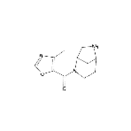 Cc1ncoc1C(=O)N1CCC2CC1CN2